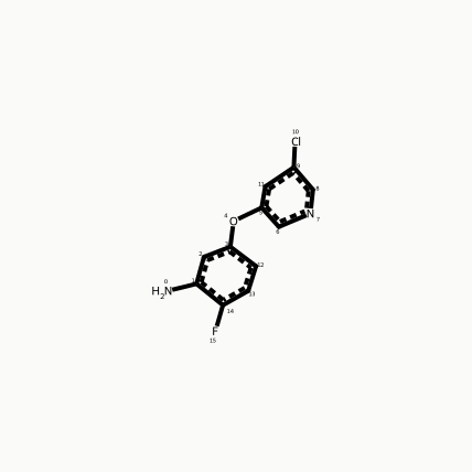 Nc1cc(Oc2cncc(Cl)c2)ccc1F